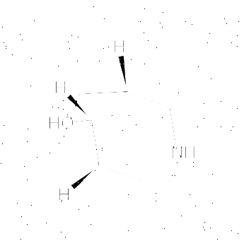 O[C@@H]1[C@@H]2CC[C@H]1CNC2